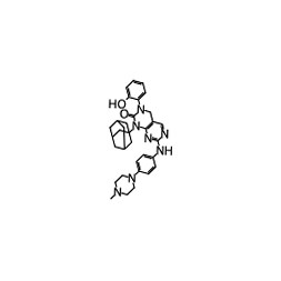 CN1CCN(c2ccc(Nc3ncc4c(n3)N(C35CC6CC(CC(C6)C3)C5)C(=O)N(c3ccccc3O)C4)cc2)CC1